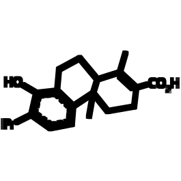 CC1=C(C(=O)O)CCC2(C)c3ccc(C(C)C)c(O)c3CCC12